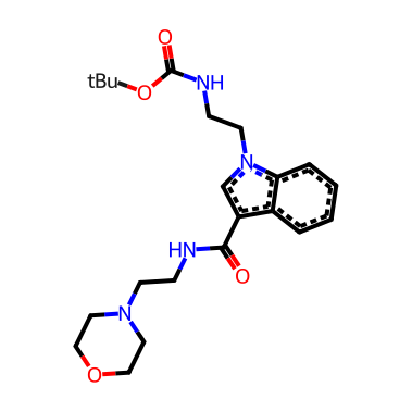 CC(C)(C)OC(=O)NCCn1cc(C(=O)NCCN2CCOCC2)c2ccccc21